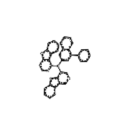 c1ccc(-c2cc(N(c3cncc4c3oc3ccccc34)c3nccc4oc5ccccc5c34)cc3ccccc23)cc1